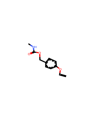 C=COc1ccc(COC(=O)NC)cc1